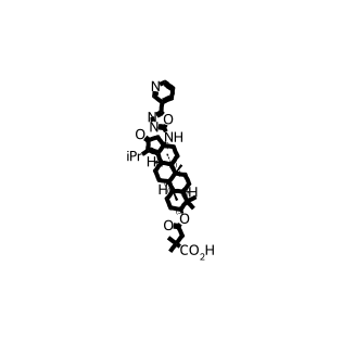 CC(C)C1=C2[C@H]3CC[C@@H]4[C@@]5(C)CC[C@H](OC(=O)CC(C)(C)C(=O)O)C(C)(C)[C@@H]5CC[C@@]4(C)[C@]3(C)CC[C@@]2(Nc2nnc(-c3cccnc3)o2)CC1=O